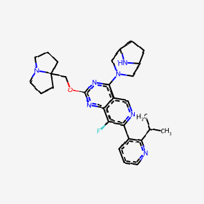 CC(C)c1ncccc1-c1ncc2c(N3CC4CCC(C3)N4)nc(OCC34CCCN3CCC4)nc2c1F